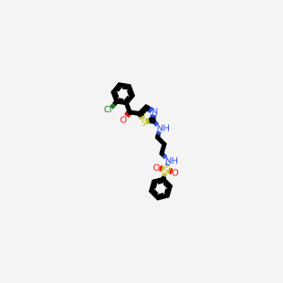 O=C(c1cnc(NCCCNS(=O)(=O)c2ccccc2)s1)c1ccccc1Cl